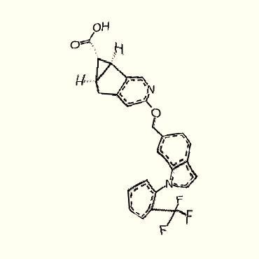 O=C(O)[C@H]1[C@@H]2Cc3cc(OCc4ccc5ccn(-c6ccccc6C(F)(F)F)c5c4)ncc3[C@@H]21